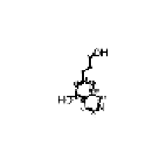 OCCCc1nc(O)c2ccncc2n1